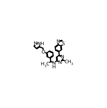 Cc1nc(NC(C)c2cccc(OCc3ccn[nH]3)c2)cc(-c2ccc3ncsc3c2)n1